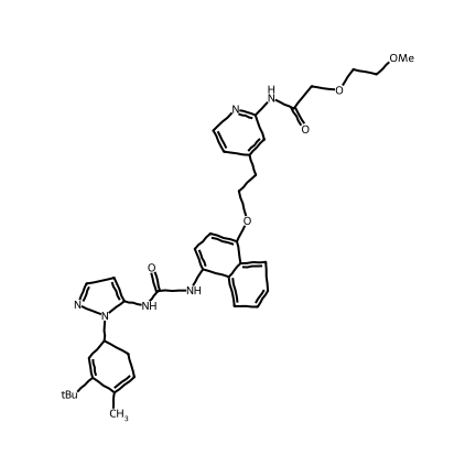 COCCOCC(=O)Nc1cc(CCOc2ccc(NC(=O)Nc3ccnn3C3C=C(C(C)(C)C)C(C)=CC3)c3ccccc23)ccn1